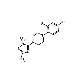 Cn1nc(N)nc1N1CCN(c2ccc(Cl)cc2F)CC1